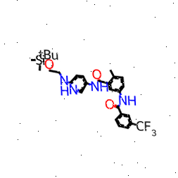 Cc1ccc(NC(=O)c2cccc(C(F)(F)F)c2)cc1C(=O)Nc1ccc(NCCO[Si](C)(C)C(C)(C)C)nc1